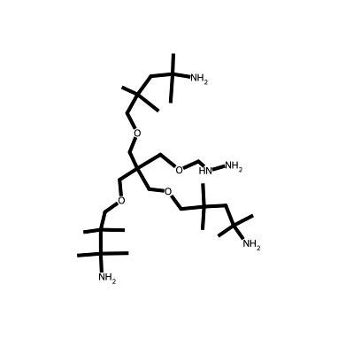 CC(C)(N)CC(C)(C)COCC(COCNN)(COCC(C)(C)CC(C)(C)N)COCC(C)(C)C(C)(C)N